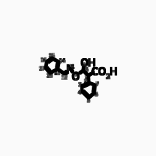 O=C(O)C(c1ccccc1)C(O)ON=Cc1ccccc1